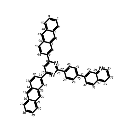 c1ccc2cc3cc(-c4cc(-c5ccc6cc7ccccc7cc6c5)nc(-c5ccc(-c6ccc7cccnc7c6)cc5)n4)ccc3cc2c1